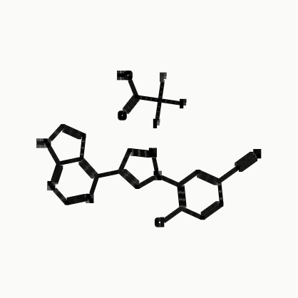 N#Cc1ccc(Cl)c(-n2cc(-c3ncnc4[nH]ccc34)cn2)c1.O=C(O)C(F)(F)F